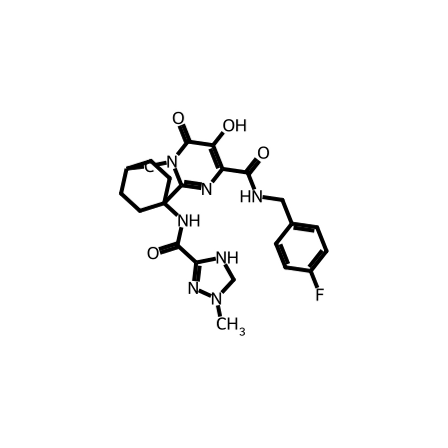 CN1CNC(C(=O)NC23CCC(CC2)Cn2c3nc(C(=O)NCc3ccc(F)cc3)c(O)c2=O)=N1